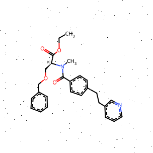 CCOC(=O)[C@H](COCc1ccccc1)N(C)C(=O)c1ccc(CCc2cccnc2)cc1